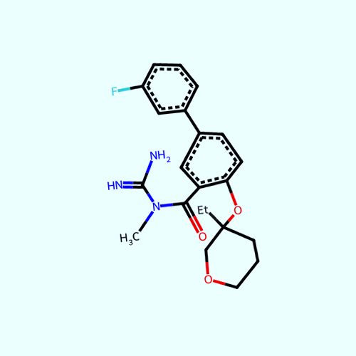 CCC1(Oc2ccc(-c3cccc(F)c3)cc2C(=O)N(C)C(=N)N)CCCOC1